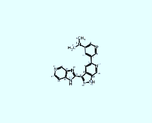 CN(C)c1cncc(-c2cc3c(-c4nc5cnccc5[nH]4)n[nH]c3cn2)c1